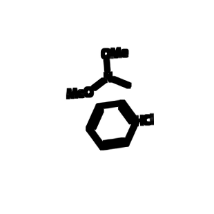 CON(C)OC.Cl.c1ccccc1